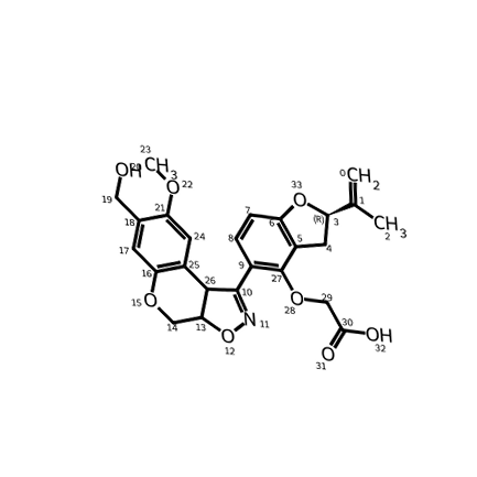 C=C(C)[C@H]1Cc2c(ccc(C3=NOC4COc5cc(CO)c(OC)cc5C34)c2OCC(=O)O)O1